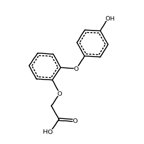 O=C(O)COc1ccccc1Oc1ccc(O)cc1